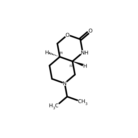 CC(C)N1CC[C@H]2COC(=O)N[C@@H]2C1